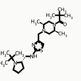 C[C@H]1CN(C(=O)C(C)(C)C)[C@@H](C)CN1Cc1csc(NC[C@@H]2CCCN2C(C)(C)C)n1